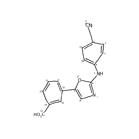 N#Cc1ccc(Nc2ncc(-c3cccc(C(=O)O)c3)o2)cc1